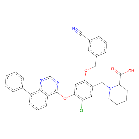 N#Cc1cccc(COc2cc(Oc3ncnc4c(-c5ccccc5)cccc34)c(Cl)cc2CN2CCCCC2C(=O)O)c1